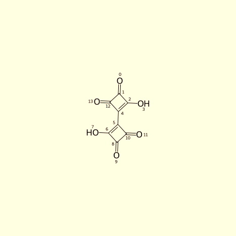 O=c1c(O)c(-c2c(O)c(=O)c2=O)c1=O